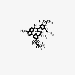 CCOc1cc(C(Nc2ccc3c(N)nccc3c2)C(=O)NC(C)c2cccc(S(=O)(=O)NC(C)(C)C)c2)ccc1OC(C)C